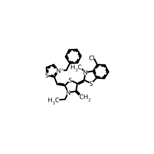 C=C1/C(=C2\Sc3cccc(Cl)c3N2C)S/C(=C\c2scc[n+]2Cc2ccccc2)N1CC